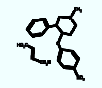 CN1CCC(Oc2ccc([N+](=O)[O-])cc2)C(c2ccccc2)C1.O=C(O)C=CC(=O)O